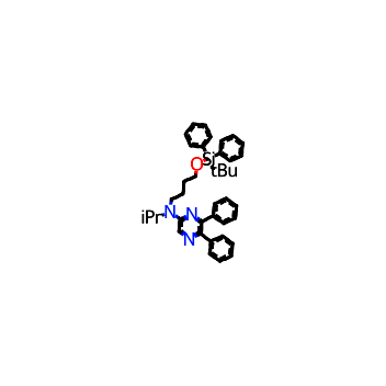 CC(C)N(CCCCO[Si](c1ccccc1)(c1ccccc1)C(C)(C)C)c1cnc(-c2ccccc2)c(-c2ccccc2)n1